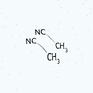 CC#N.CC#N